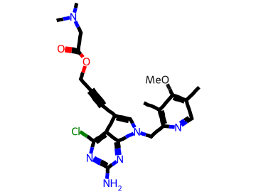 COc1c(C)cnc(Cn2cc(C#CCOC(=O)CN(C)C)c3c(Cl)nc(N)nc32)c1C